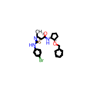 Cc1nc(Nc2ccc(Br)cc2)sc1C(=O)N[C@@H]1CCC[C@H]1OCc1ccccc1